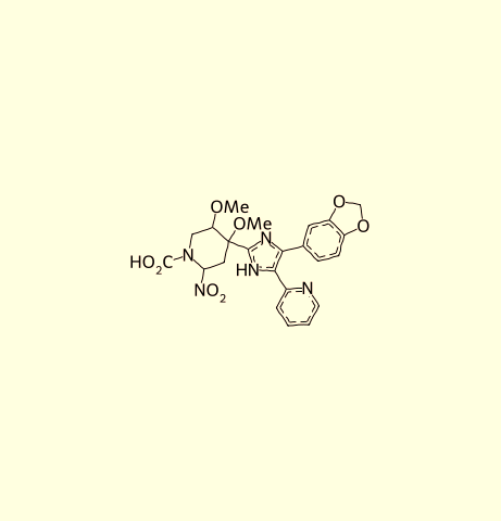 COC1CN(C(=O)O)C([N+](=O)[O-])CC1(OC)c1nc(-c2ccc3c(c2)OCO3)c(-c2ccccn2)[nH]1